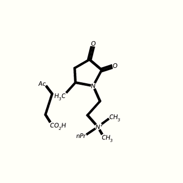 CC(=O)CCC(=O)O.CCC[N+](C)(C)CCN1C(=O)C(=O)CC1C